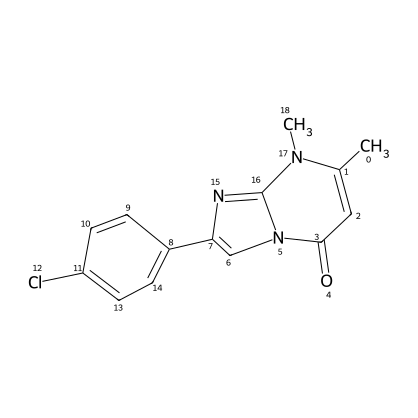 Cc1cc(=O)n2cc(-c3ccc(Cl)cc3)nc2n1C